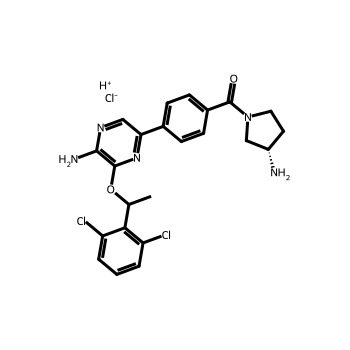 CC(Oc1nc(-c2ccc(C(=O)N3CC[C@H](N)C3)cc2)cnc1N)c1c(Cl)cccc1Cl.[Cl-].[H+]